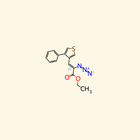 CCOC(=O)/C(=C/c1cscc1-c1ccccc1)N=[N+]=[N-]